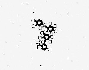 Clc1c(Cl)c(Cl)c(Cl)c(Cl)c1Cl.Clc1cc(Cl)c(Cl)c(Cl)c1Cl.Clc1ccc(Cl)c(Cl)c1Cl.FC(F)(F)c1ccc(Cl)cc1